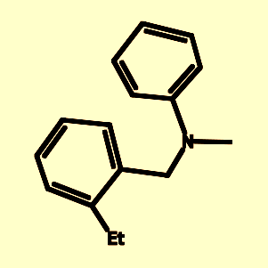 CCc1ccccc1CN(C)c1ccccc1